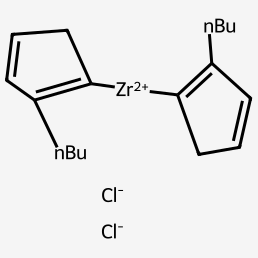 CCCCC1=[C]([Zr+2][C]2=C(CCCC)C=CC2)CC=C1.[Cl-].[Cl-]